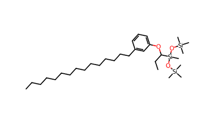 CCCCCCCCCCCCCCCc1cccc(OC(CC)[Si](C)(O[Si](C)(C)C)O[Si](C)(C)C)c1